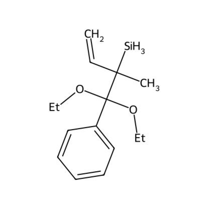 C=CC(C)([SiH3])C(OCC)(OCC)c1ccccc1